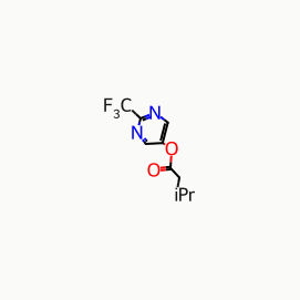 CC(C)CC(=O)Oc1cnc(C(F)(F)F)nc1